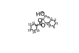 Cc1ccccc1[C@H]1OC(c2ccccc2)O[C@@H]1CO